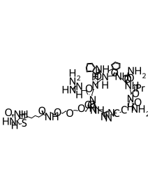 CC(C)[C@H]1NC(=O)[C@@H](CC(N)=O)NC(=O)[C@@H](Cc2ccccc2)NC(=O)[C@@H](Cc2c[nH]c3ccccc23)NC(=O)[C@@H](CCCNC(=N)N)NC(=O)[C@@H](NC(=O)COCCOCCOCCNC(=O)CCCC[C@H]2SC[C@H]3NC(=O)N[C@H]32)Cc2cn(nn2)CCCC[C@@H](C(N)=O)NC1=O